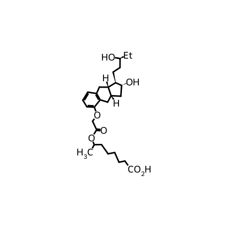 CC[C@H](O)CC[C@@H]1[C@H]2Cc3cccc(OCC(=O)OC(C)CCCCCC(=O)O)c3C[C@H]2C[C@H]1O